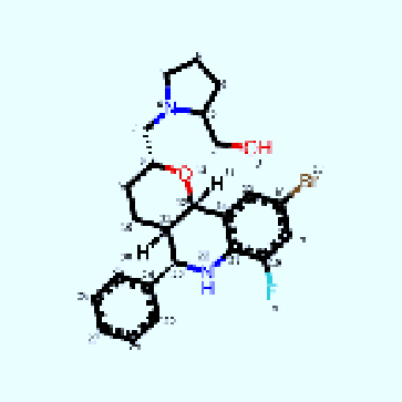 OCC1CCCN1C[C@H]1CC[C@@H]2[C@H](O1)c1cc(Br)cc(F)c1N[C@H]2c1ccccc1